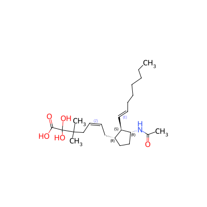 CCCCCC/C=C/[C@@H]1[C@@H](C/C=C\CC(C)(C)C(O)(O)C(=O)O)CC[C@H]1NC(C)=O